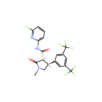 CN1C[C@H](c2cc(C(F)(F)F)cc(C(F)(F)F)c2)[C@@H](C(=O)Nc2cccc(F)n2)C1=O